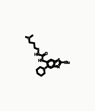 CN(C)CCCSNC(=O)Nc1cc2sc(C(C)(C)C)nc2cc1N1CCCCC1